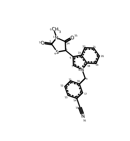 CN1C(=O)SC(c2cn(Cc3cccc(C#N)c3)c3ccccc23)C1=O